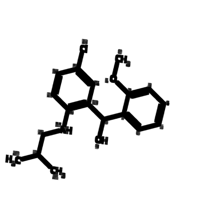 COc1ccccc1C(O)c1cc(Cl)ccc1NCC(C)C